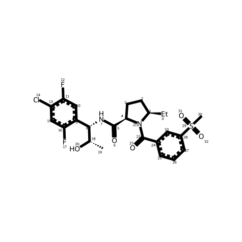 CC[C@@H]1CC[C@H](C(=O)N[C@@H](c2cc(F)c(Cl)cc2F)[C@H](C)O)N1C(=O)c1cccc(S(C)(=O)=O)c1